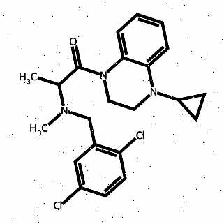 CC(C(=O)N1CCN(C2CC2)c2ccccc21)N(C)Cc1cc(Cl)ccc1Cl